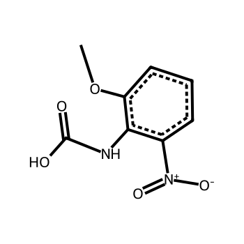 COc1cccc([N+](=O)[O-])c1NC(=O)O